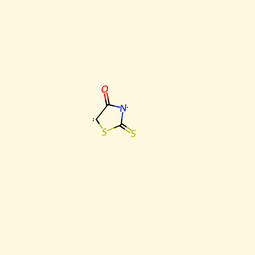 O=C1[C]SC(=S)[N]1